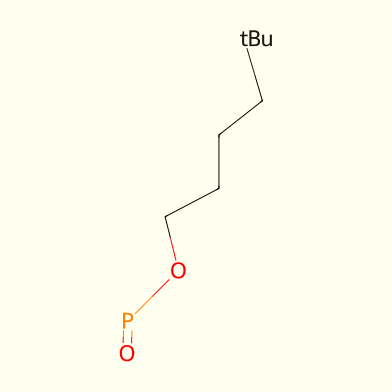 CC(C)(C)CCCCOP=O